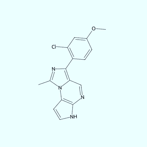 COc1ccc(-c2nc(C)n3c2cnc2[nH]ccc23)c(Cl)c1